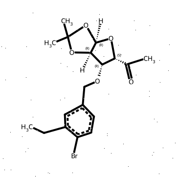 CCc1cc(CO[C@@H]2[C@H]3OC(C)(C)O[C@H]3O[C@@H]2C(C)=O)ccc1Br